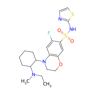 CCN(C)C1CCCCC1N1CCOc2cc(S(=O)(=O)Nc3nccs3)c(F)cc21